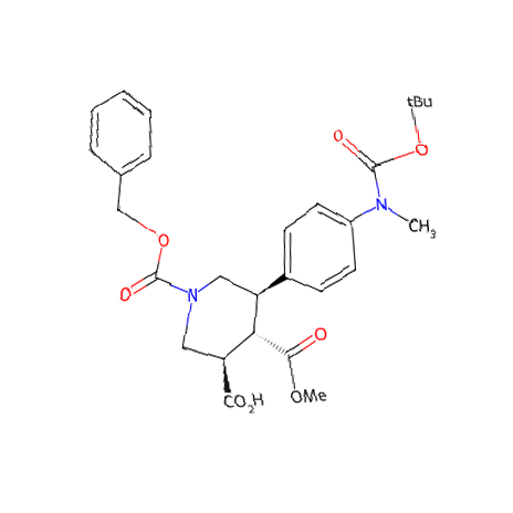 COC(=O)[C@@H]1[C@@H](C(=O)O)CN(C(=O)OCc2ccccc2)C[C@H]1c1ccc(N(C)C(=O)OC(C)(C)C)cc1